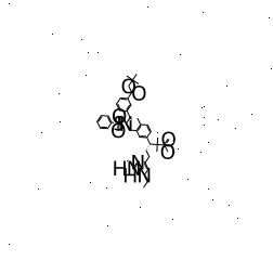 CCN/C=C(/CC[C@H](c1ccc(C)c(CN(Cc2cccc(C(=O)OC(C)(C)C)c2)S(=O)(=O)c2ccccc2)c1)C(C)(C)C(=O)OC)N=N